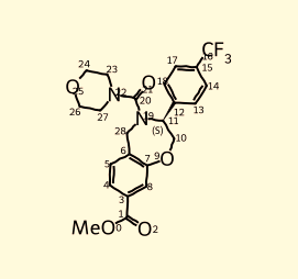 COC(=O)c1ccc2c(c1)OC[C@H](c1ccc(C(F)(F)F)cc1)N(C(=O)N1CCOCC1)C2